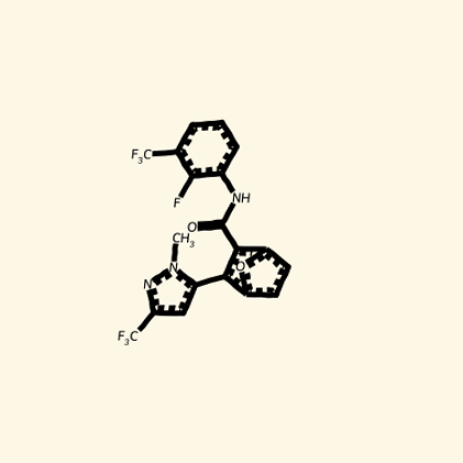 Cn1nc(C(F)(F)F)cc1-c1c(C(=O)Nc2cccc(C(F)(F)F)c2F)c2ccc1o2